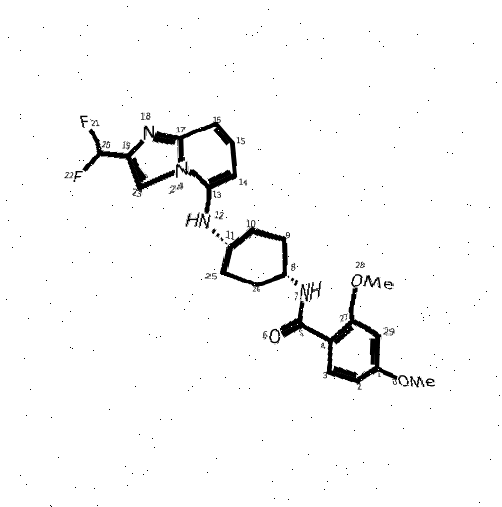 COc1ccc(C(=O)N[C@H]2CC[C@@H](Nc3cccc4nc(C(F)F)cn34)CC2)c(OC)c1